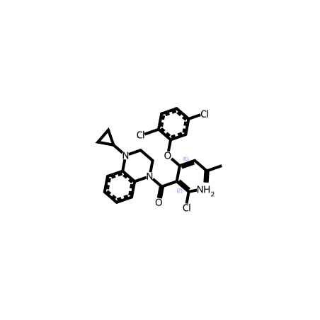 C=C(C)/C=C(Oc1cc(Cl)ccc1Cl)\C(C(=O)N1CCN(C2CC2)c2ccccc21)=C(/N)Cl